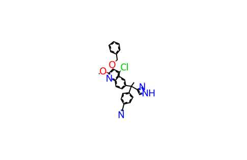 COc1nc2ccc(C(C)(c3ccc(C#N)cc3)c3c[nH]n3C)cc2c(Cl)c1OCc1ccccc1